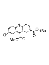 COC(=O)c1c2c(nc3ccc(Cl)cc13)CCN(C(=O)OC(C)(C)C)C2